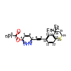 CCCC(=O)Oc1ccc(C#Cc2ccc3c(c2)C(CC)(CC)CCS3)nn1